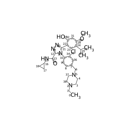 CCN1CCN(Cc2ccc(-n3c(C(=O)NC4CC4)nnc3-c3cc(C(C)C)c(OC)cc3O)c(Cl)c2)CC1